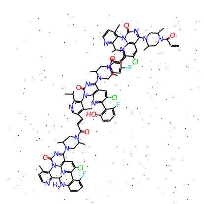 C=CC(=O)N1CC(C)N(c2nc(=O)n(-c3c(C)ccnc3C(C)C/C=C\C(=O)N3CC(C)N(c4nc(=O)n(-c5c(C(C)C)ncc(C=CC(=O)N6CC(C)N(c7nc(=O)n(-c8c(C)ccnc8C(C)C)c8nc(-c9c(N)cccc9F)c(Cl)cc78)CC6C)c5C)c5nc(-c6c(O)cccc6F)c(Cl)cc45)CC3C)c3nc(-c4ccccc4F)c(Cl)cc23)CC1C